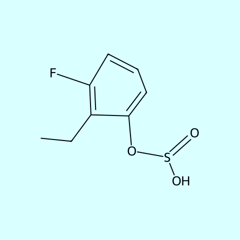 CCc1c(F)cccc1OS(=O)O